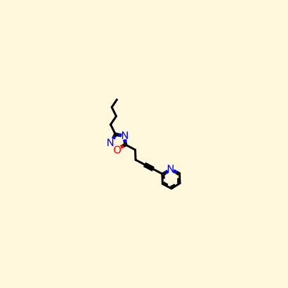 CCCCc1noc(CCC#Cc2ccccn2)n1